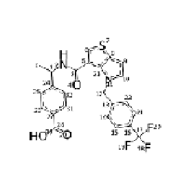 CC(NC(=O)c1csc2ccn(Cc3ccc(C(F)(F)F)cc3)c12)c1ccc(C(=O)O)cc1